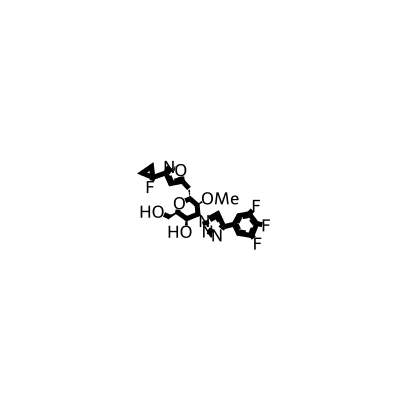 CO[C@@H]1[C@@H](n2cc(-c3cc(F)c(F)c(F)c3)nn2)[C@@H](O)[C@@H](CO)O[C@@H]1Cc1cc(C2(F)CC2)no1